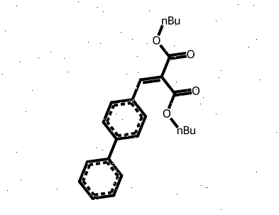 CCCCOC(=O)C(=Cc1ccc(-c2ccccc2)cc1)C(=O)OCCCC